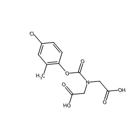 Cc1cc(Cl)ccc1OC(=O)N(CC(=O)O)CC(=O)O